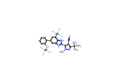 Cn1nc(C(C)(C)C)c(C#N)c1-c1nc2cc(-c3ccccc3OC(F)(F)F)cc(C(F)(F)F)c2[nH]1